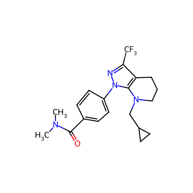 CN(C)C(=O)c1ccc(-n2nc(C(F)(F)F)c3c2N(CC2CC2)CCC3)cc1